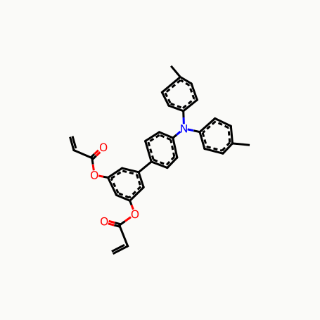 C=CC(=O)Oc1cc(OC(=O)C=C)cc(-c2ccc(N(c3ccc(C)cc3)c3ccc(C)cc3)cc2)c1